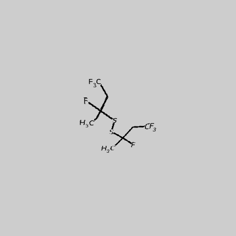 CC(F)(CC(F)(F)F)SSC(C)(F)CC(F)(F)F